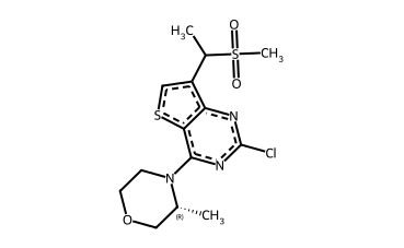 CC(c1csc2c(N3CCOC[C@H]3C)nc(Cl)nc12)S(C)(=O)=O